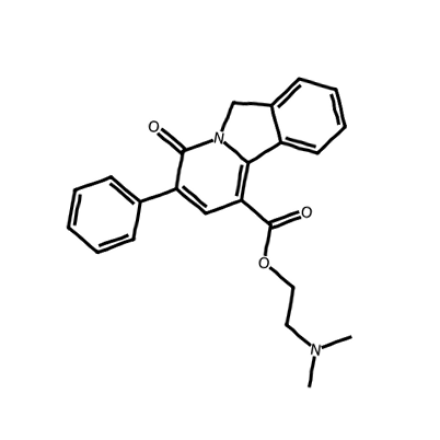 CN(C)CCOC(=O)c1cc(-c2ccccc2)c(=O)n2c1-c1ccccc1C2